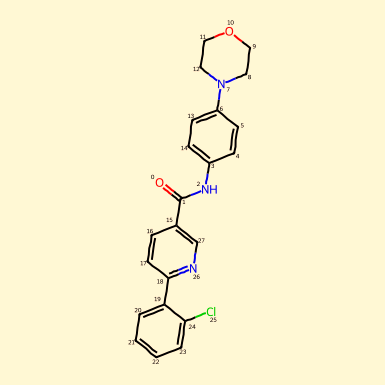 O=C(Nc1ccc(N2CCOCC2)cc1)c1ccc(-c2ccccc2Cl)nc1